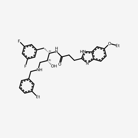 CCOc1ccc2nc(CCC(=O)N[C@@H](Cc3cc(F)cc(F)c3)[C@H](O)CNCc3cccc(CC)c3)[nH]c2c1